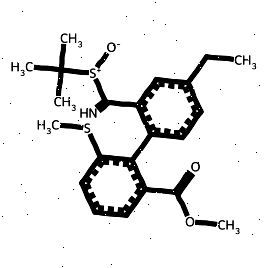 CCc1ccc(-c2c(SC)cccc2C(=O)OC)c(C(=N)[S+]([O-])C(C)(C)C)c1